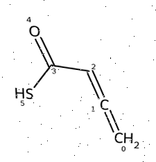 C=C=CC(=O)S